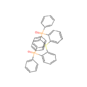 O=P(c1ccccc1)(c1ccccc1)c1ccccc1Sc1ccccc1P(=O)(c1ccccc1)c1ccccc1